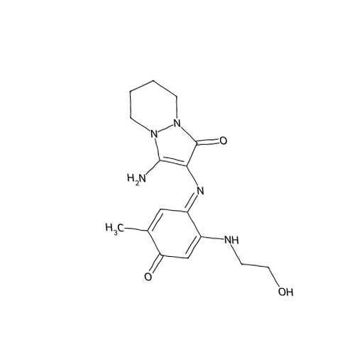 CC1=CC(=Nc2c(N)n3n(c2=O)CCCC3)C(NCCO)=CC1=O